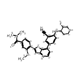 COc1cc(C(=O)N(C)C)ccc1-c1cc2nccc(-c3ccc(NC4CCOCC4F)c(C#N)c3)c2o1